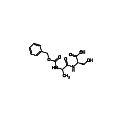 CC(NC(=O)OCc1ccccc1)C(=O)N[C@H](CO)C(=O)O